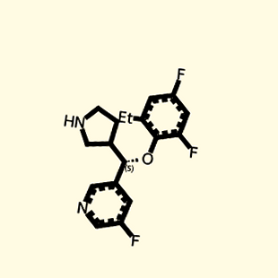 CCc1cc(F)cc(F)c1O[C@H](c1cncc(F)c1)C1CCNC1